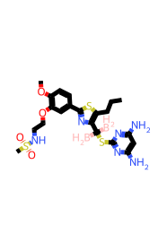 BC(B)(Sc1nc(N)cc(N)n1)c1nc(-c2ccc(OC)c(OCCNS(C)(=O)=O)c2)sc1CCC